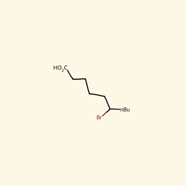 CCCCC(Br)CCCCC(=O)O